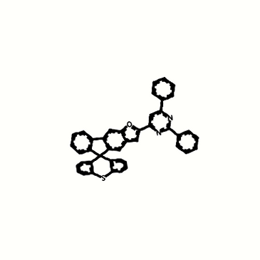 c1ccc(-c2cc(-c3cc4cc5c(cc4o3)-c3ccccc3C53c4ccccc4Sc4ccccc43)nc(-c3ccccc3)n2)cc1